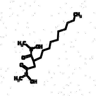 CCCCCCCCCCC(CC(=O)N(C)O)C(=O)N(C)O